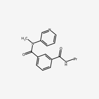 CC(C)NC(=O)c1cccc(C(=O)N(C)c2cccnc2)c1